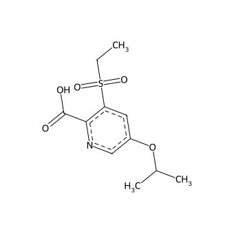 CCS(=O)(=O)c1cc(OC(C)C)cnc1C(=O)O